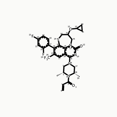 C=CC(=O)N1[C@H](C)CN(c2nc(=O)n3c4c(c(-c5ccc(F)cc5F)c(C(F)(F)F)cc24)SCC(OC2CC2)C3)C[C@@H]1C